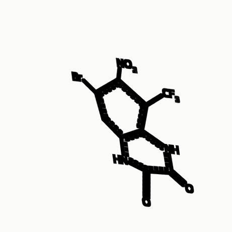 O=c1[nH]c2cc(Br)c([N+](=O)[O-])c(C(F)(F)F)c2[nH]c1=O